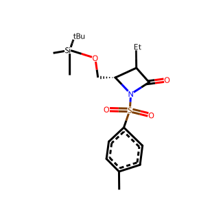 CCC1C(=O)N(S(=O)(=O)c2ccc(C)cc2)[C@@H]1CO[Si](C)(C)C(C)(C)C